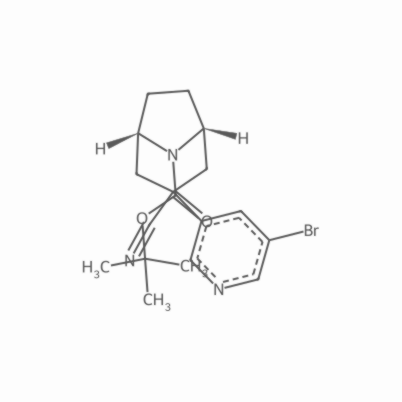 CC(C)(C)OC(=O)N1[C@@H]2CC[C@H]1CC(C#N)(c1cncc(Br)c1)C2